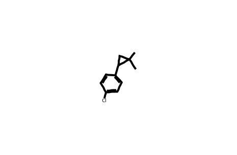 CC1(C)CC1c1ccc(Cl)cc1